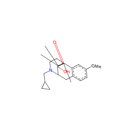 COc1ccc2c(c1)C13CCN(CC4CC4)C(C2)C1(O)CC(C)(C)C(=O)C3